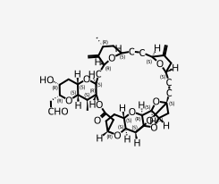 C=C1C[C@@H]2CC[C@@]34C[C@@H]5OC6[C@@H](O[C@H]7CC[C@H](CC(=O)O[C@@H]8[C@@H](C)[C@@H]9O[C@H](CC=O)[C@H](O)C[C@@H]9O[C@H]8C[C@H]8O[C@@H](CC[C@@H]1O2)C[C@@H](C)C8=C)O[C@@H]7[C@@H]6O3)[C@H]5O4